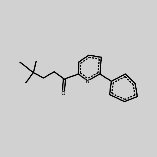 CC(C)(C)CCC(=O)c1cccc(-c2ccccc2)n1